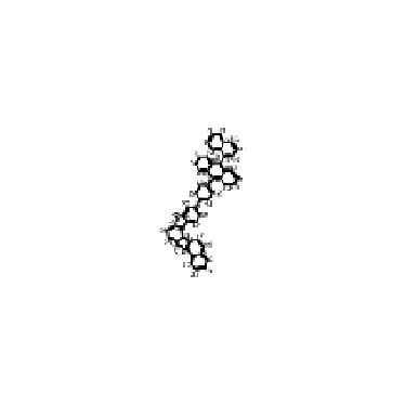 c1ccc2c(-c3c4ccccc4c(-c4ccc(-c5ccc6c(c5)sc5ccc7oc8c9ccccc9ccc8c7c56)cc4)c4ccccc34)cccc2c1